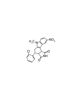 Cn1c2c(c3cc([N+](=O)[O-])ccc31)C1C(=O)NC(=O)C1C(c1ccccc1Cl)C2